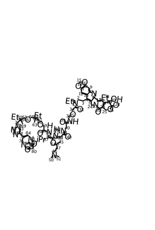 CCN(CCc1c2c(nc3cc4c(cc13)OCO4)-c1cc3c(c(=O)n1C2)COC(=O)[C@]3(O)CC)C(=O)COCNC(=O)CNC(=O)[C@H](CCCCN(C)C)NC(=O)[C@@H](NC(=O)COCC(C)(CC)COCC(C)(CC)Cn1cc(-c2cnc(S(C)(=O)=O)nc2)nn1)C(C)C